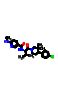 CNc1ccc(C(=O)N[C@@H](C(=O)N2CCC(c3ccc(Cl)cc3)C(C)(C)C2)C(C)C)cn1